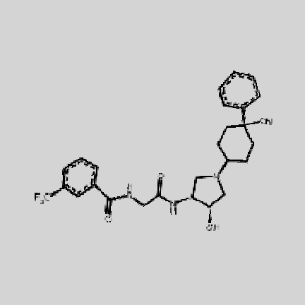 N#CC1(c2ccccc2)CCC(N2C[C@@H](O)[C@@H](NC(=O)CNC(=O)c3cccc(C(F)(F)F)c3)C2)CC1